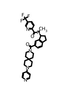 CN(C(=O)c1ccc(C(F)(F)F)cn1)C1CCc2ccc(C(=O)N3CCC4(CC3)CCN(c3ccncc3)CC4)cc21